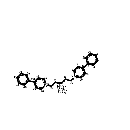 [OH-].[OH-].c1ccc(-c2cc[n+](CCCCC[n+]3ccc(-c4ccccc4)cc3)cc2)cc1